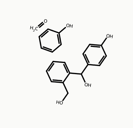 C=O.OCc1ccccc1C(O)c1ccc(O)cc1.Oc1ccccc1